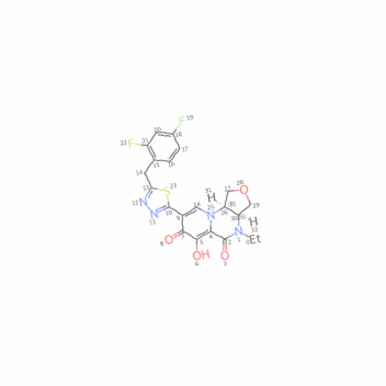 CCN1C(=O)c2c(O)c(=O)c(-c3nnc(Cc4ccc(F)cc4F)s3)cn2[C@H]2COC[C@H]21